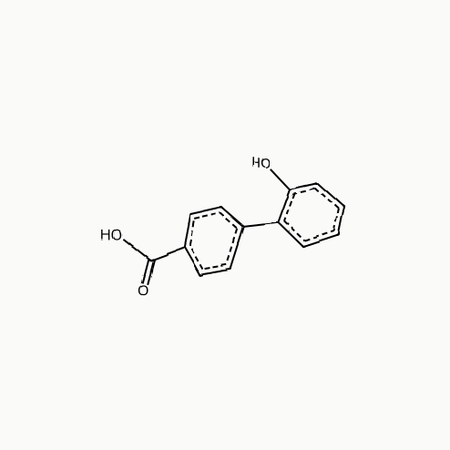 O=C(O)c1ccc(-c2ccccc2O)cc1